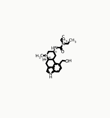 CCN(CC)C(=O)N[C@H]1CC2c3c(CO)ccc4[nH]cc(c34)C[C@H]2N(C)C1